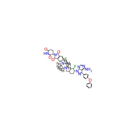 [2H]C1([2H])N(CC2CCC(n3nc(-c4ccc(Oc5ccccc5)cc4)c4c(N)ncnc43)C(F)C2)C([2H])([2H])C([2H])([2H])N(c2cc3c(cc2F)C(=O)N(C2CCC(=O)NC2=O)C3=O)C1([2H])[2H]